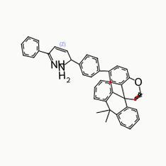 CC1(C)c2ccccc2C2(c3ccccc3Oc3ccc(-c4ccc(C(N)/C=C\C(=N)c5ccccc5)cc4)cc32)c2ccccc21